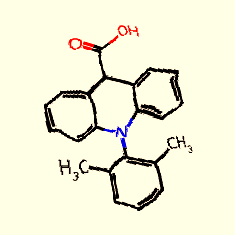 Cc1cccc(C)c1N1c2ccccc2C(C(=O)O)c2ccccc21